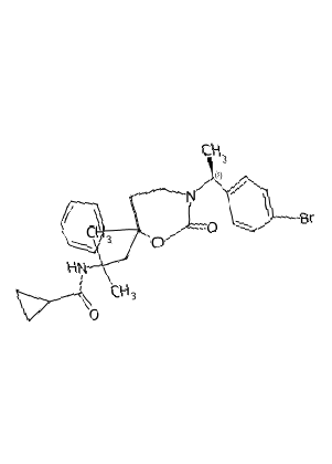 C[C@@H](c1ccc(Br)cc1)N1CCC(CC(C)(C)NC(=O)C2CC2)(c2ccccc2)OC1=O